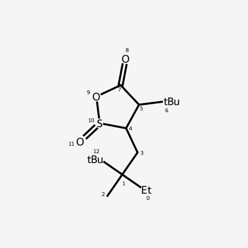 CCC(C)(CC1C(C(C)(C)C)C(=O)OS1=O)C(C)(C)C